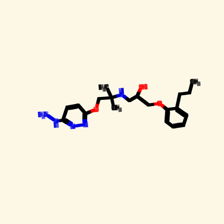 CCCc1ccccc1OCC(O)CNC(C)(C)COc1ccc(NN)nn1